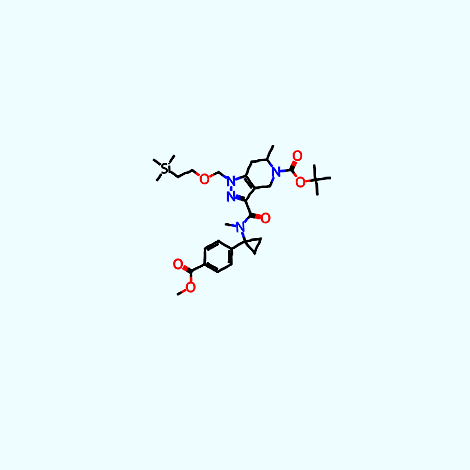 COC(=O)c1ccc(C2(N(C)C(=O)c3nn(COCC[Si](C)(C)C)c4c3CN(C(=O)OC(C)(C)C)C(C)C4)CC2)cc1